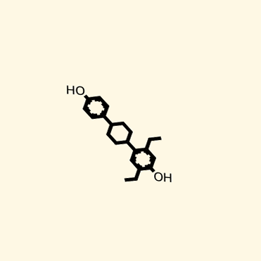 CCc1cc(C2CCC(c3ccc(O)cc3)CC2)c(CC)cc1O